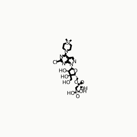 C[Si]1(C)CCN(c2nc(Cl)nc3c2cnn3[C@@H]2O[C@H](COP(=O)(O)CP(=O)(O)O)[C@](O)(CO)[C@H]2O)CC1